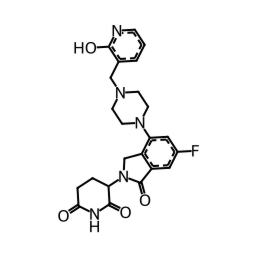 O=C1CCC(N2Cc3c(cc(F)cc3N3CCN(Cc4cccnc4O)CC3)C2=O)C(=O)N1